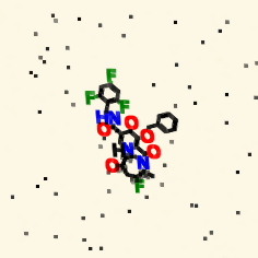 CO[C@H]1C[C@H](F)[C@H](C)N2C[C@H]1n1cc(C(=O)NCc3c(F)cc(F)cc3F)c(=O)c(OCc3ccccc3)c1C2=O